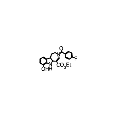 CCOC(=O)C1=CN(C(=O)c2ccc(F)cc2)CCC2c3cccc(O)c3NC12